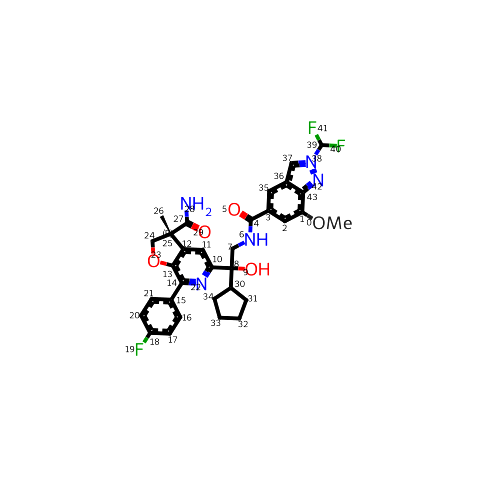 COc1cc(C(=O)NCC(O)(c2cc3c(c(-c4ccc(F)cc4)n2)OC[C@]3(C)C(N)=O)C2CCCC2)cc2cn(C(F)F)nc12